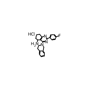 Cl.NC1CCCc2nc(-c3ccc(F)cc3)nc(N3CCc4ccccc4C3)c21